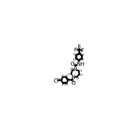 O=C(Nc1ccc(C(F)(F)F)cc1)N1CCCN(C(=O)C2=CCC(Cl)C=C2)CC1